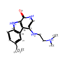 CCOC(=O)c1ccc2[nH]c3c(=O)[nH]cc(NCCN(CC)CC)c3c2c1